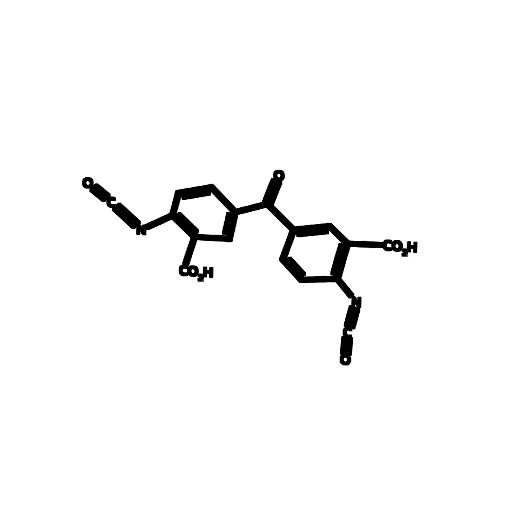 O=C=Nc1ccc(C(=O)c2ccc(N=C=O)c(C(=O)O)c2)cc1C(=O)O